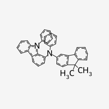 CC1(C)c2ccccc2-c2cc(N(c3ccccc3)c3cccc4c5ccccc5n(-c5ccccc5)c34)ccc21